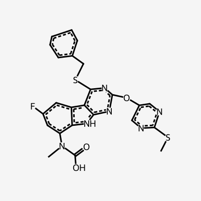 CSc1ncc(Oc2nc(SCc3ccccc3)c3c(n2)[nH]c2c(N(C)C(=O)O)cc(F)cc23)cn1